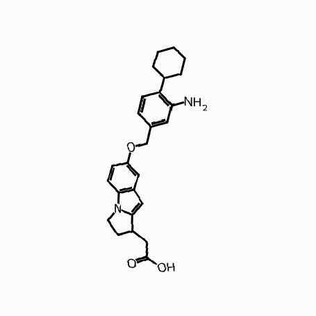 Nc1cc(COc2ccc3c(c2)cc2n3CCC2CC(=O)O)ccc1C1CCCCC1